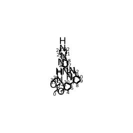 CC(Oc1ccc(-c2cccc3cnc(Nc4ccc(N5CCNCC5)nc4)nc23)cc1)C1CNCCO1